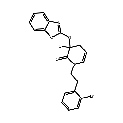 O=C1N(CCc2ccccc2Br)C=CCC1(O)Oc1nc2ccccc2o1